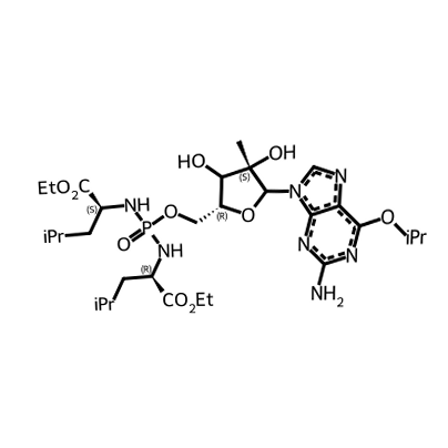 CCOC(=O)[C@H](CC(C)C)NP(=O)(N[C@H](CC(C)C)C(=O)OCC)OC[C@H]1OC(n2cnc3c(OC(C)C)nc(N)nc32)[C@@](C)(O)C1O